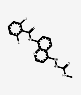 CNC(=O)NNc1ccnc2c(NC(=O)c3c(Cl)cccc3Cl)cccc12